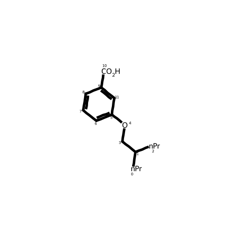 CCCC(CCC)COc1cccc(C(=O)O)c1